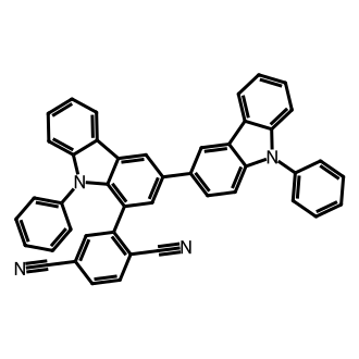 N#Cc1ccc(C#N)c(-c2cc(-c3ccc4c(c3)c3ccccc3n4-c3ccccc3)cc3c4ccccc4n(-c4ccccc4)c23)c1